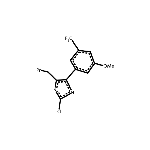 COc1cc(-c2nc(Cl)sc2CC(C)C)cc(C(F)(F)F)c1